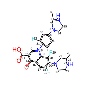 CC1CN(c2ccc(-n3cc(C(=O)O)c(=O)c4cc(F)c(N5CCNC(C)C5)c(F)c43)c(F)c2)CCN1